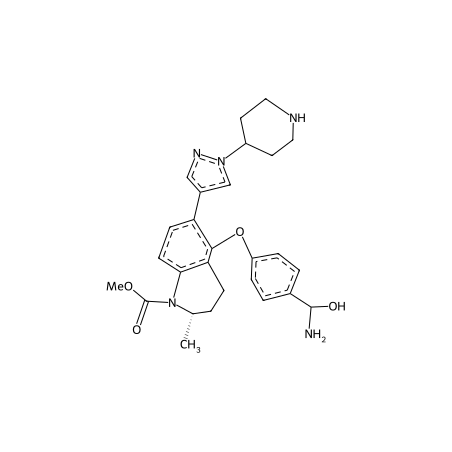 COC(=O)N1c2ccc(-c3cnn(C4CCNCC4)c3)c(Oc3ccc(C(N)O)cc3)c2CC[C@@H]1C